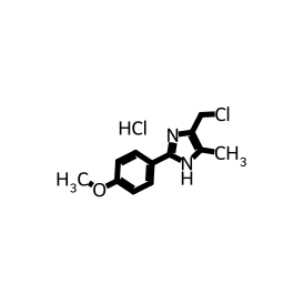 COc1ccc(-c2nc(CCl)c(C)[nH]2)cc1.Cl